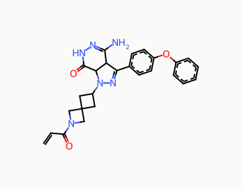 C=CC(=O)N1CC2(CC(N3N=C(c4ccc(Oc5ccccc5)cc4)C4C(N)=NNC(=O)C43)C2)C1